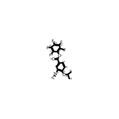 [C-]#[N+]c1cc(C(=O)Oc2c(F)c(F)c(F)c(F)c2F)ccc1OC(C)C